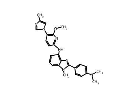 COc1nc(Nc2cccc3c2nc(-c2ccc(N(C)C)cc2)n3C)ccc1-n1cnc(C)c1